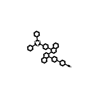 N#Cc1ccc(-c2ccc(-c3c(-c4ccc5ccccc5c4-c4ccc(-c5nc(-c6ccccc6)nc(-c6ccccc6)n5)cc4)ccc4ccccc34)cc2)cc1